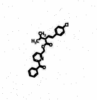 CC(C)C(C=Cc1ccc(Cl)cc1)C(=O)OCc1cccc(C(=O)c2ccccc2)n1